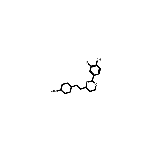 CCCCC1CCC(CCC2CCOC(c3ccc(C#N)c(F)c3)O2)CC1